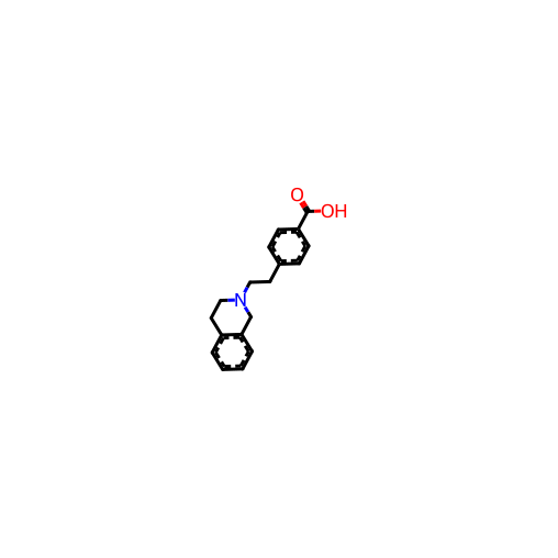 O=C(O)c1ccc(CCN2CCc3ccccc3C2)cc1